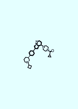 O=C(C1CC1)N1CCN(c2ccnn3cc(-c4ccc([C@@H]5CCCN(C6CCC6)C5)cc4)cc23)CC1